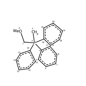 COCP(C)(c1ccccc1)(c1ccccc1)c1ccccc1